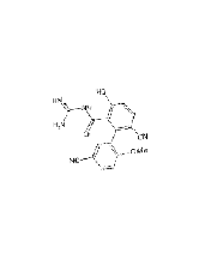 COc1ccc(C#N)cc1-c1c(C#N)ccc(O)c1C(=O)NC(=N)N